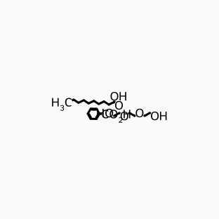 CCCCCCCCCC(=O)O.O=C(O)c1ccccc1.OCCOCCOCCO